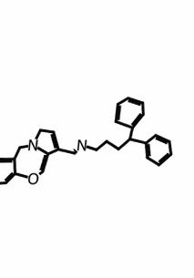 C(=NCCCC(c1ccccc1)c1ccccc1)C1=CCN2Cc3ccccc3OC=C12